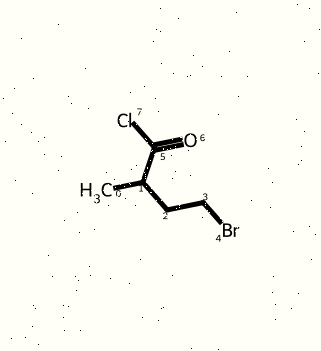 CC(CCBr)C(=O)Cl